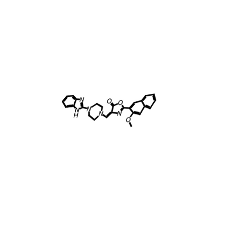 COc1cc2ccccc2cc1C1=NC(=CN2CCN(c3nc4ccccc4[nH]3)CC2)C(=O)O1